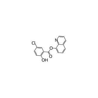 O=C(Oc1cccc2cccnc12)c1cc(Cl)ccc1O